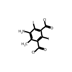 Cc1c(N)c(I)c(C(=O)Cl)c(I)c1C(=O)Cl